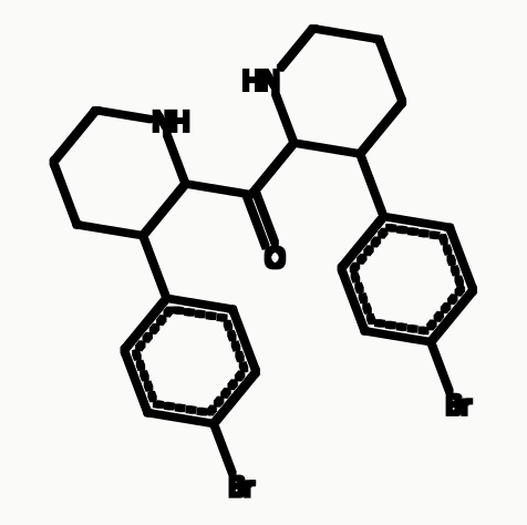 O=C(C1NCCCC1c1ccc(Br)cc1)C1NCCCC1c1ccc(Br)cc1